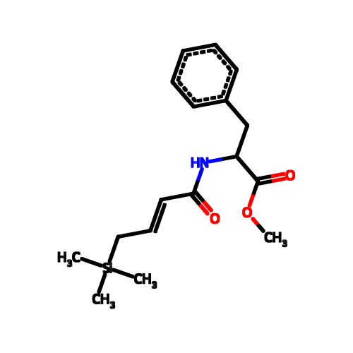 COC(=O)C(Cc1ccccc1)NC(=O)C=CC[Si](C)(C)C